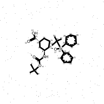 CC(C)(C)OC(=O)N[C@H]1C[C@H](C(=O)O)CC[C@@H]1O[Si](c1ccccc1)(c1ccccc1)C(C)(C)C